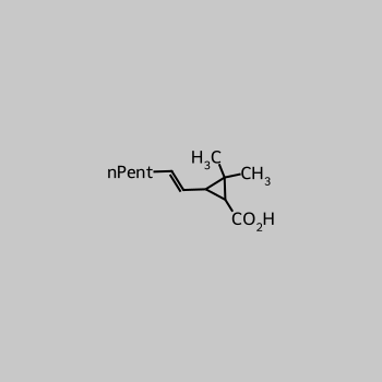 CCCCCC=CC1C(C(=O)O)C1(C)C